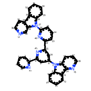 c1ccc(-c2cc(-n3c4ccccc4c4ncccc43)cc(-c3cccc(-n4c5ccccc5c5ccncc54)n3)n2)nc1